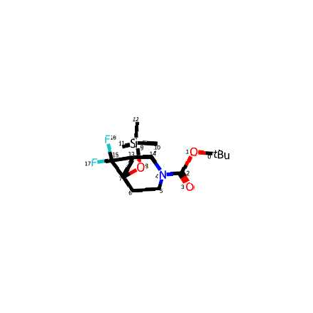 CC(C)(C)OC(=O)N1CCC2(O[Si](C)(C)C)C(C1)C2(F)F